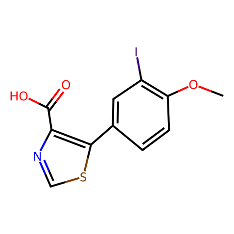 COc1ccc(-c2scnc2C(=O)O)cc1I